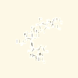 Cc1ncc(C(=O)Nc2ccc(CN(C)C)c(F)c2)cc1C#Cc1cnc(N)c2ncccc12